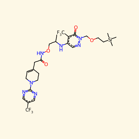 CC(CONC(=O)CC1=CCN(c2ncc(C(F)(F)F)cn2)CC1)Nc1cnn(COCC[Si](C)(C)C)c(=O)c1C(F)(F)F